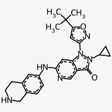 CC(C)(C)c1cc(-n2c3cc(Nc4ccc5c(c4)CCNC5)ncc3c(=O)n2C2CC2)no1